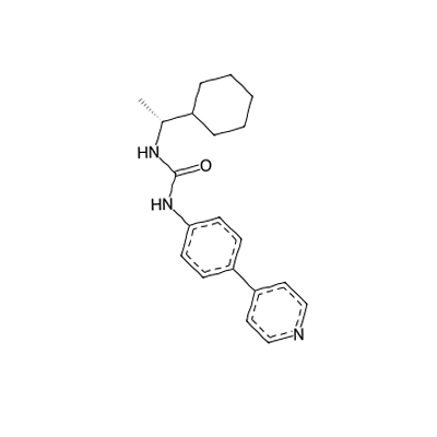 C[C@@H](NC(=O)Nc1ccc(-c2ccncc2)cc1)C1CCCCC1